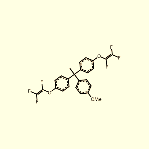 COc1ccc(C(C)(c2ccc(OC(F)=C(F)F)cc2)c2ccc(OC(F)=C(F)F)cc2)cc1